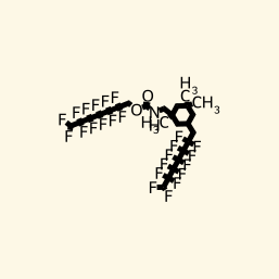 CC1(C)CC(CC(F)(F)C(F)(F)C(F)(F)C(F)(F)C(F)(F)C(F)F)CC(C)(CNC(=O)OCC(F)(F)C(F)(F)C(F)(F)C(F)(F)C(F)(F)C(F)F)C1